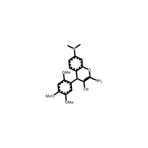 COc1cc(OC)c(C2C(C#N)=C(N)Oc3cc(N(C)C)ccc32)cc1OC